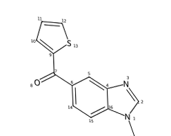 Cn1[c]nc2cc(C(=O)c3cccs3)ccc21